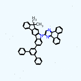 CC1(C)c2ccccc2-c2cc3c4cc(-c5cc(-c6ccccc6)cc(-c6ccccc6)c5)ccc4n(-c4cnc5c6ccccc6c6ccccc6c5n4)c3cc21